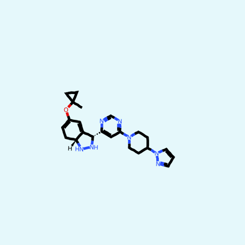 CC1(OC2=CC[C@H]3NN[C@@H](c4cc(N5CCC(n6cccn6)CC5)ncn4)C3=C2)CC1